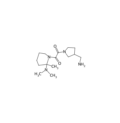 CN(C)C1(C)CCCCN1C(=O)C(=O)N1CCC(CN)C1